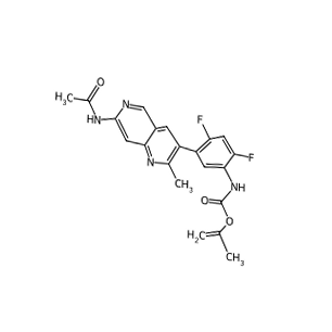 C=C(C)OC(=O)Nc1cc(-c2cc3cnc(NC(C)=O)cc3nc2C)c(F)cc1F